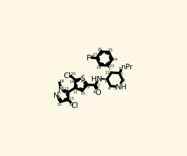 CCCC1CNC[C@@H](NC(=O)c2cc(-c3c(Cl)cnn3C)c(Cl)s2)[C@@H]1c1cccc(F)c1